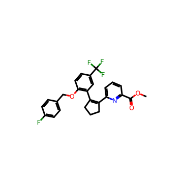 COC(=O)c1cccc(C2=C(c3cc(C(F)(F)F)ccc3OCc3ccc(F)cc3)CCC2)n1